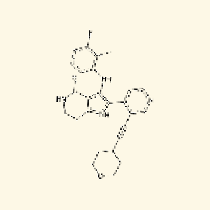 Cc1c(F)cccc1Nc1c(-c2ccncc2C#CC2CCOCC2)[nH]c2c1C(=O)NCC2